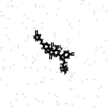 CC1(c2ccc(CCc3nn[nH]n3)cc2)C(=O)Nc2nc(-c3nn(CCC(F)(F)C(F)(F)F)c4cc(Cl)ccc34)nc(N)c21